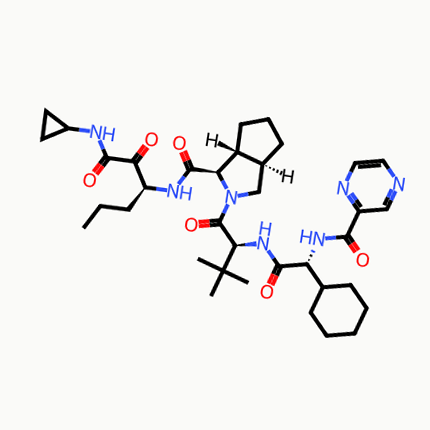 CCC[C@H](NC(=O)[C@H]1[C@@H]2CCC[C@H]2CN1C(=O)[C@@H](NC(=O)[C@H](NC(=O)c1cnccn1)C1CCCCC1)C(C)(C)C)C(=O)C(=O)NC1CC1